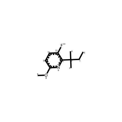 CCC(C)(C)c1nc(OC)ccc1F